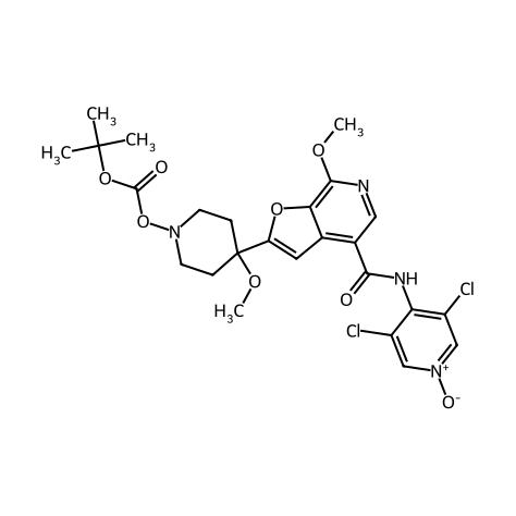 COc1ncc(C(=O)Nc2c(Cl)c[n+]([O-])cc2Cl)c2cc(C3(OC)CCN(OC(=O)OC(C)(C)C)CC3)oc12